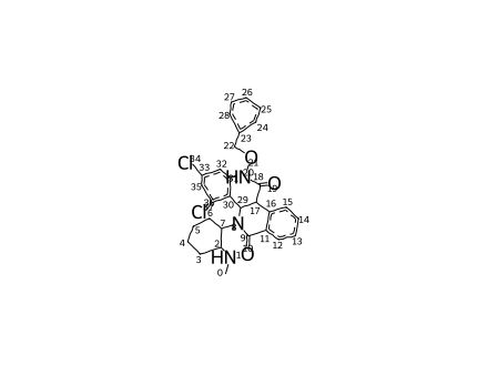 CNC1CCCCC1N1C(=O)c2ccccc2C(C(=O)NOCc2ccccc2)C1c1ccc(Cl)cc1Cl